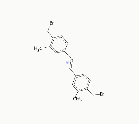 Cc1cc(/C=C/c2ccc(CBr)c(C)c2)ccc1CBr